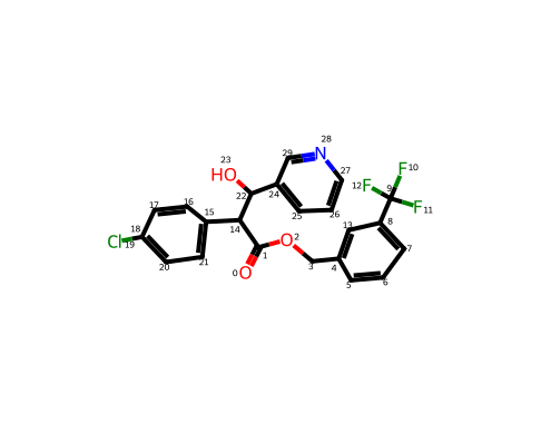 O=C(OCc1cccc(C(F)(F)F)c1)C(c1ccc(Cl)cc1)C(O)c1cccnc1